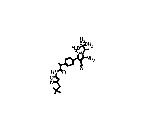 BC(B)(B)C(C)n1nc(-c2ccc(C(C)C(=O)Nc3cc(CC(C)(C)C)no3)cc2)c(C#N)c1N